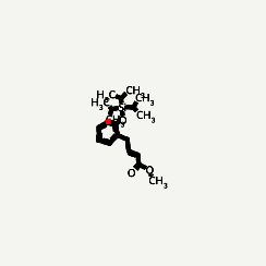 COC(=O)C=CCc1ccccc1O[Si](C(C)C)(C(C)C)C(C)C